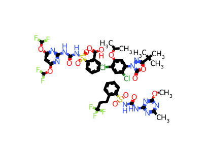 CC(C)Oc1cc(-n2nc(C(C)(C)C)oc2=O)c(Cl)cc1Cl.COc1nc(C)nc(NC(=O)NS(=O)(=O)c2ccccc2CCC(F)(F)F)n1.O=C(Nc1nc(OC(F)F)cc(OC(F)F)n1)NS(=O)(=O)c1ccccc1C(=O)O